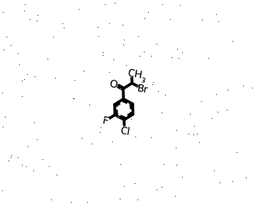 CC(Br)C(=O)c1ccc(Cl)c(F)c1